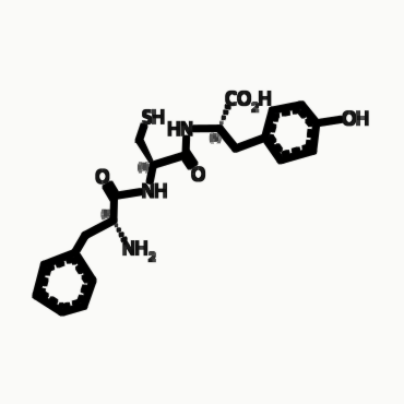 N[C@H](Cc1ccccc1)C(=O)N[C@@H](CS)C(=O)N[C@@H](Cc1ccc(O)cc1)C(=O)O